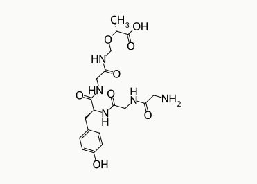 C[C@@H](OCNC(=O)CNC(=O)[C@H](Cc1ccc(O)cc1)NC(=O)CNC(=O)CN)C(=O)O